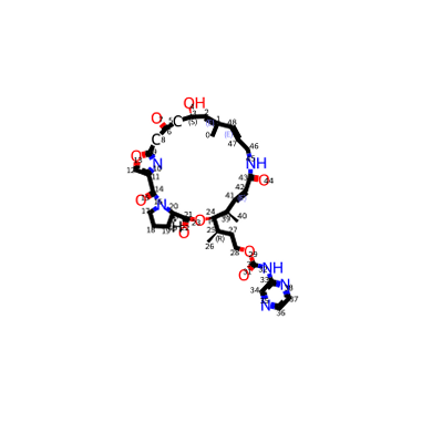 CC1=C\[C@@H](O)CC(=O)Cc2nc(co2)C(=O)N2CCC[C@@H]2C(=O)O[C@H]([C@H](C)CCOC(=O)Nc2cnccn2)[C@H](C)/C=C/C(=O)NC\C=C\1